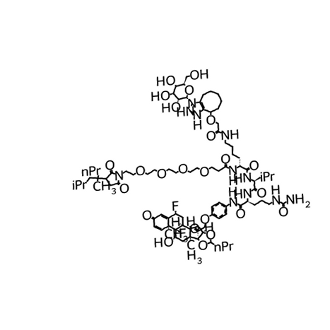 CCCC1O[C@@H]2C[C@H]3[C@@H]4C[C@H](F)C5=CC(=O)C=C[C@]5(C)[C@@]4(F)[C@@H](O)C[C@]3(C)[C@]2(C(=O)COc2ccc(NC(=O)[C@H](CCCNC(N)=O)NC(=O)[C@@H](NC(=O)[C@@H](CCCCNC(=O)COC3CCCCCC4=C3NNN4[C@@H]3O[C@H](CO)[C@H](O)[C@H](O)[C@H]3O)NC(=O)CCOCCOCCOCCOCCN3C(=O)CC(C(C)(CCC)CC(C)C)C3=O)C(C)C)cc2)O1